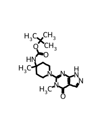 Cn1c(N2CCC(C)(NC(=O)OC(C)(C)C)CC2)nc2[nH]ncc2c1=O